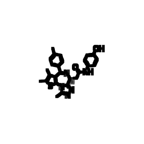 Cc1ccc(C2=N[C@@H](CC(=O)Nc3ccc(O)cc3)c3nnc(C)n3-c3sc(C)c(C)c32)cc1